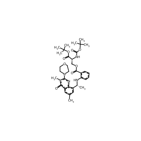 Cc1cc([C@@H](C)Nc2ccccc2C(=O)OC[C@H](NC(=O)OC(C)(C)C)C(=O)OC(C)(C)C)c2nc(N3CCOCC3)n(C)c(=O)c2c1